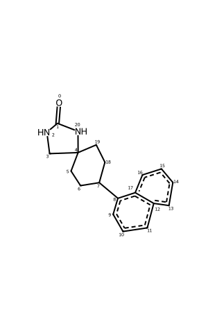 O=C1NCC2(CCC(c3cccc4ccccc34)CC2)N1